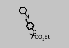 CCOC(=O)C(C)(C)Oc1ccc(/C=N/C2CCCCC2)cc1